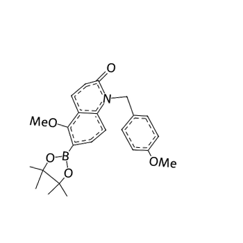 COc1ccc(Cn2c(=O)ccc3c(OC)c(B4OC(C)(C)C(C)(C)O4)ccc32)cc1